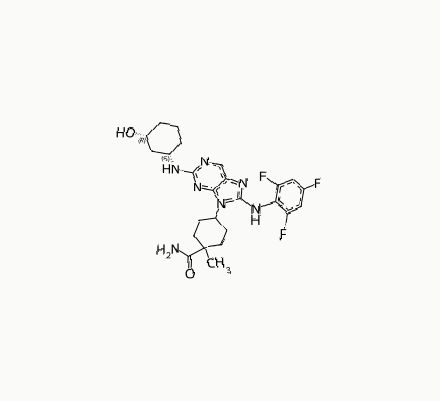 CC1(C(N)=O)CCC(n2c(Nc3c(F)cc(F)cc3F)nc3cnc(N[C@H]4CCC[C@@H](O)C4)nc32)CC1